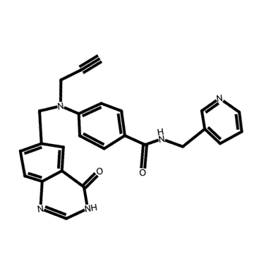 C#CCN(Cc1ccc2nc[nH]c(=O)c2c1)c1ccc(C(=O)NCc2cccnc2)cc1